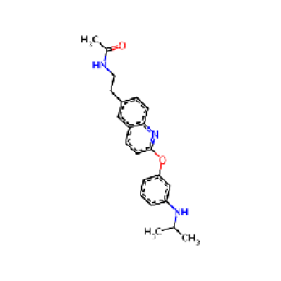 CC(=O)NCCc1ccc2nc(Oc3cccc(NC(C)C)c3)ccc2c1